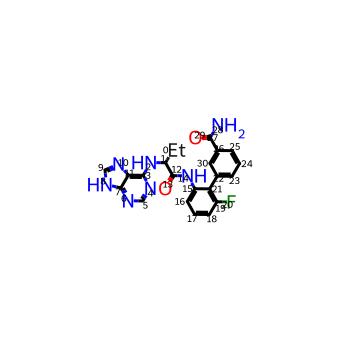 CCC(Nc1ncnc2[nH]cnc12)C(=O)Nc1cccc(F)c1-c1cccc(C(N)=O)c1